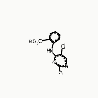 CCOC(=O)c1ccccc1Nc1nc(Cl)ncc1Cl